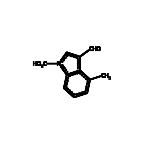 Cc1cccc2c1c(C=O)cn2C(=O)O